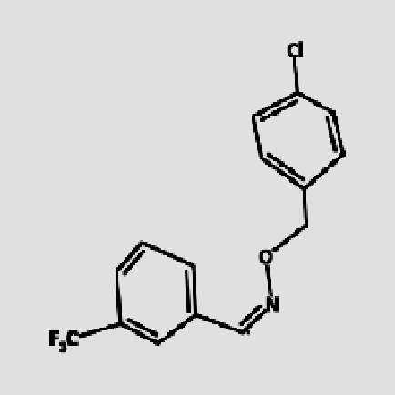 FC(F)(F)c1cccc(/[C]=N\OCc2ccc(Cl)cc2)c1